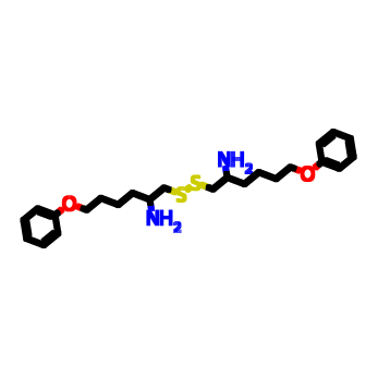 NC(CCCCOc1ccccc1)CSSCC(N)CCCCOc1ccccc1